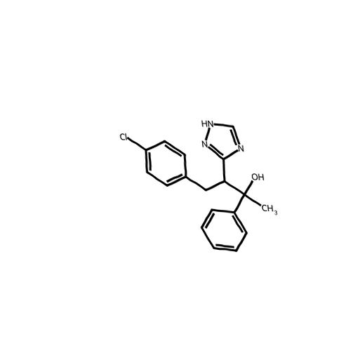 CC(O)(c1ccccc1)C(Cc1ccc(Cl)cc1)c1nc[nH]n1